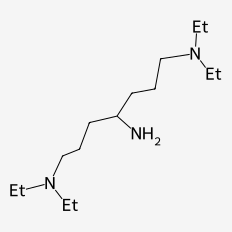 CCN(CC)CCCC(N)CCCN(CC)CC